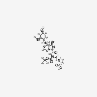 COC(=O)C1CCCN1CC1COC(c2nc(Br)c3c(NCc4ccc(OC)cc4OC)nccn23)CN1C(=O)OC(C)(C)C